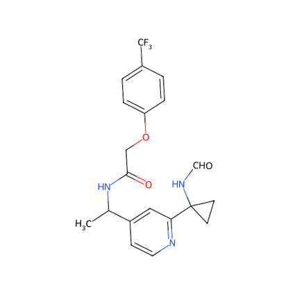 CC(NC(=O)COc1ccc(C(F)(F)F)cc1)c1ccnc(C2(NC=O)CC2)c1